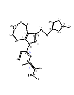 C=C/C(=C\C(C)=C(/C)NC)n1nc(OCC2CCN(C)C2)c2c1CCOCC2